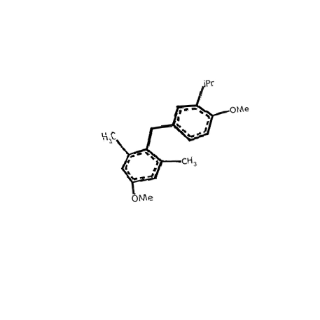 COc1cc(C)c(Cc2ccc(OC)c(C(C)C)c2)c(C)c1